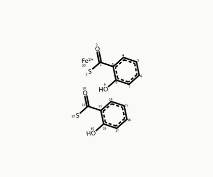 O=C([S-])c1ccccc1O.O=C([S-])c1ccccc1O.[Fe+2]